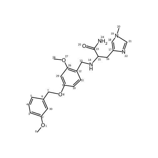 COc1cccc(COc2ccc(CNC(Cc3cn(C)cn3)C(N)=O)c(OC)c2)c1